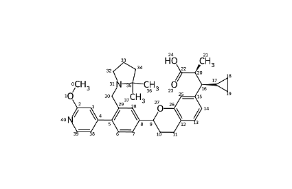 COc1cc(-c2ccc(C3CCc4ccc([C@H](C5CC5)[C@H](C)C(=O)O)cc4O3)cc2CN2CCCC2(C)C)ccn1